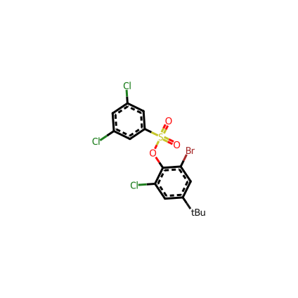 CC(C)(C)c1cc(Cl)c(OS(=O)(=O)c2cc(Cl)cc(Cl)c2)c(Br)c1